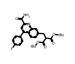 CC(C)(C)OC(=O)C(Cc1ccc2c(-c3ccc(F)cc3)cc(C(N)=O)nc2c1)C(=O)OC(C)(C)C